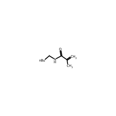 C=C(C)C(=O)N[CH]CCCC